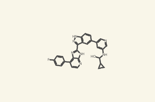 OC(Nc1cncc(-c2ccc3[nH]nc(-c4nc5c(-c6ccc(F)cc6)ccnc5[nH]4)c3c2)c1)C1CC1